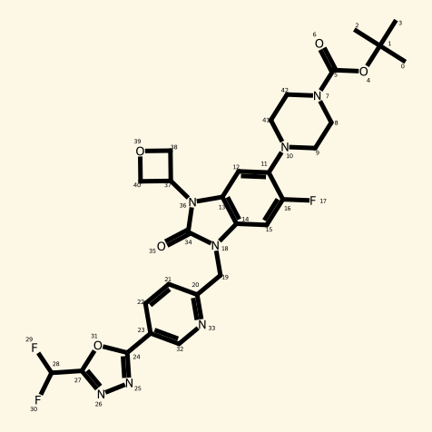 CC(C)(C)OC(=O)N1CCN(c2cc3c(cc2F)n(Cc2ccc(-c4nnc(C(F)F)o4)cn2)c(=O)n3C2COC2)CC1